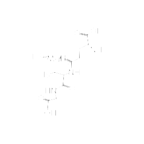 NC(CCC(=O)NC(CS)C(=O)NCC(=O)O)C(=O)O.[MgH2].[SeH2]